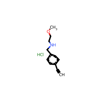 C#Cc1ccc(CNCCOC)cc1.Cl